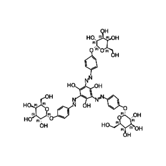 OC[C@H]1O[C@H](Oc2ccc(N=Nc3c(O)c(N=Nc4ccc(O[C@H]5O[C@H](CO)[C@H](O)[C@H](O)[C@H]5O)cc4)c(O)c(N=Nc4ccc(O[C@H]5O[C@H](CO)[C@H](O)[C@H](O)[C@H]5O)cc4)c3O)cc2)[C@H](O)[C@@H](O)[C@H]1O